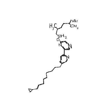 CCCCC(C)CCC(C)C[SiH2]Oc1cncc(-c2ccc(CCCCCCCCCC3CC3)cn2)n1